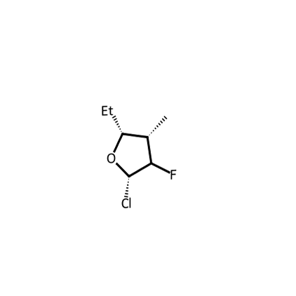 CC[C@H]1O[C@@H](Cl)C(F)[C@H]1C